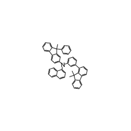 CC1(C)c2ccccc2-c2cccc(-c3cccc(N(c4ccc5c(c4)C(C)(c4ccccc4)c4ccccc4-5)c4cccc5ccccc45)c3)c21